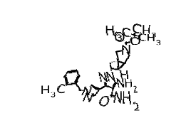 Cc1ccccc1Cn1cc(-c2nn([C@@H]3C[C@]45CN(C(=O)OC(C)(C)C)CC4[C@H]35)c(N)c2C(N)=O)cn1